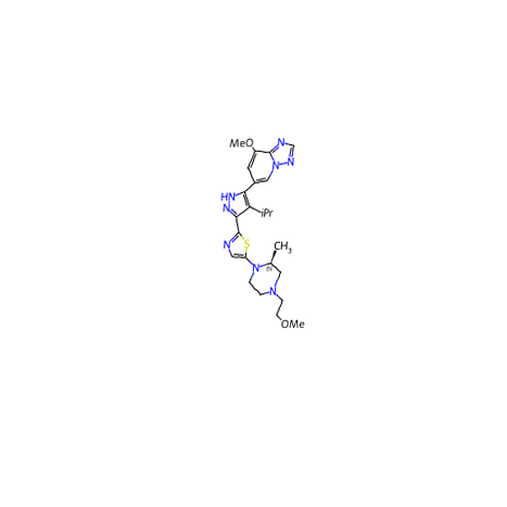 COCCN1CCN(c2cnc(-c3n[nH]c(-c4cc(OC)c5ncnn5c4)c3C(C)C)s2)[C@@H](C)C1